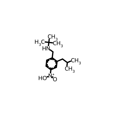 CC(C)Cc1cc([N+](=O)O)ccc1CNC(C)(C)C